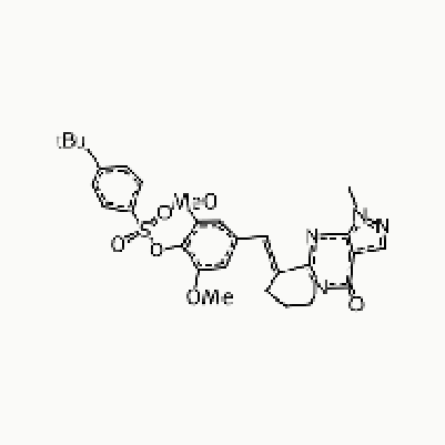 COc1cc(/C=C2\CCCn3c2nc2c(cnn2C)c3=O)cc(OC)c1OS(=O)(=O)c1ccc(C(C)(C)C)cc1